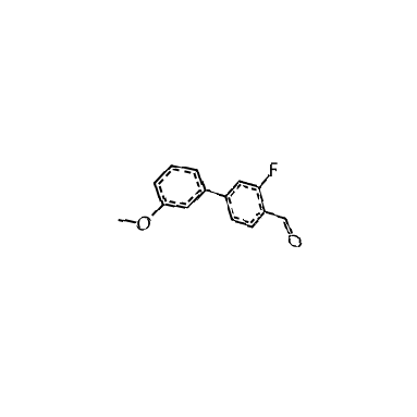 COc1cccc(-c2ccc(C=O)c(F)c2)c1